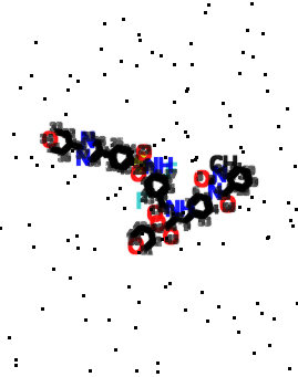 Cn1c(=O)n(-c2ccc(C[C@H](NC(=O)c3cc(F)c(NS(=O)(=O)c4ccc(-c5cnc(C6CCOCC6)nc5)cc4)cc3F)C(=O)OC3CCOCC3)cc2)c(=O)c2ccccc21